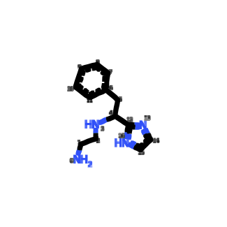 NCCNC(Cc1ccccc1)c1ncc[nH]1